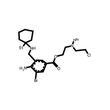 CCCN(CCCl)CCOC(=O)c1cc(Br)c(N)c(CNC2(CC)CCCCC2)c1